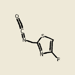 O=C=Nc1nc(F)cs1